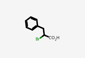 O=C(O)C(Br)Cc1ccccc1